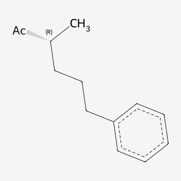 CC(=O)[C@H](C)CCCc1ccccc1